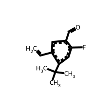 C=Cc1cc([C]=O)c(F)cc1C(C)(C)C